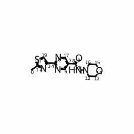 Cc1nc(-c2ncc(C(=O)NN3CCOCC3)cn2)cs1